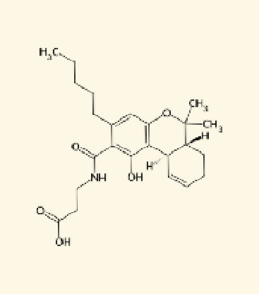 CCCCCc1cc2c(c(O)c1C(=O)NCCC(=O)O)[C@@H]1C=CCC[C@H]1C(C)(C)O2